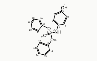 O=P(Nc1ccc(O)cc1)(Oc1ccccc1)Oc1ccccc1